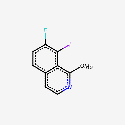 COc1nccc2ccc(F)c(I)c12